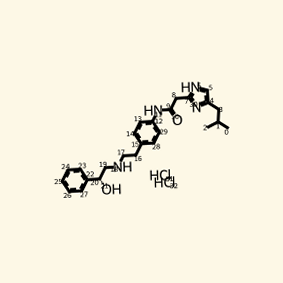 CC(C)Cc1c[nH]c(CC(=O)Nc2ccc(CCNC[C@H](O)c3ccccc3)cc2)n1.Cl.Cl